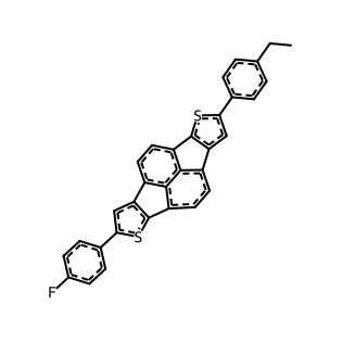 CCc1ccc(-c2cc3c(s2)-c2ccc4c5c(ccc-3c25)-c2sc(-c3ccc(F)cc3)cc2-4)cc1